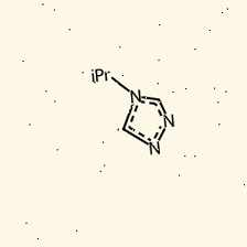 CC(C)n1[c]nnc1